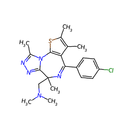 Cc1sc2c(c1C)C(c1ccc(Cl)cc1)=NC(C)(CN(C)C)c1nnc(C)n1-2